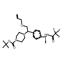 C=CCOCC(c1ccc([C@H](C)NC(=O)C(F)(F)F)cc1)N1CCN(C(=O)OC(C)(C)C)CC1